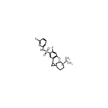 CN(C)[C@H]1CCCC[C@@H]1Oc1cc(F)c(S(=O)(=O)Nc2cccc(F)n2)cc1C1CC1